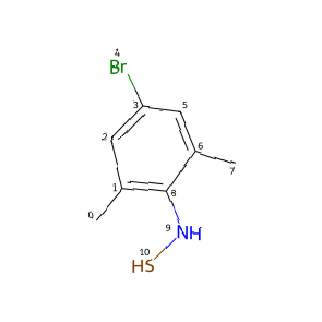 Cc1cc(Br)cc(C)c1NS